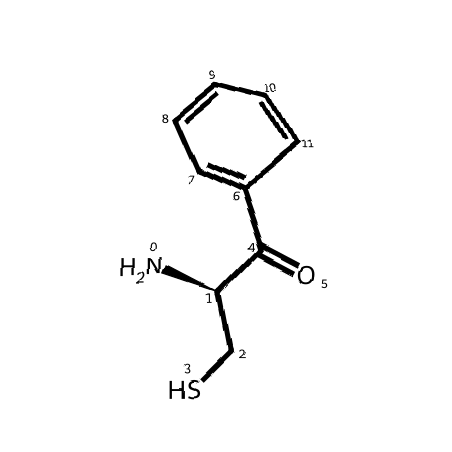 N[C@H](CS)C(=O)c1ccccc1